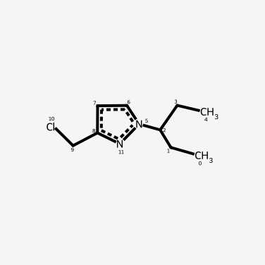 CCC(CC)n1ccc(CCl)n1